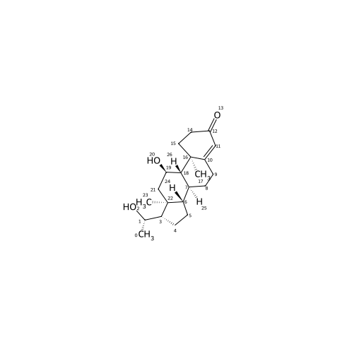 C[C@H](O)[C@H]1CC[C@H]2[C@@H]3CCC4=CC(=O)CC[C@]4(C)[C@H]3[C@H](O)C[C@]12C